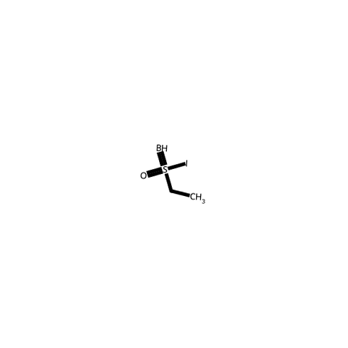 B=S(=O)(I)CC